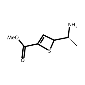 COC(=O)C1=CC([C@@H](C)N)S1